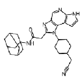 N#CCC1CCC(n2c(CC(=O)NC34CC5CC(CC(C5)C3)C4)nc3cnc4[nH]ccc4c32)CC1